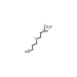 O=C(O)NCCOCCCO